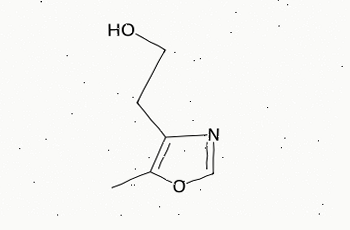 Cc1ocnc1CCO